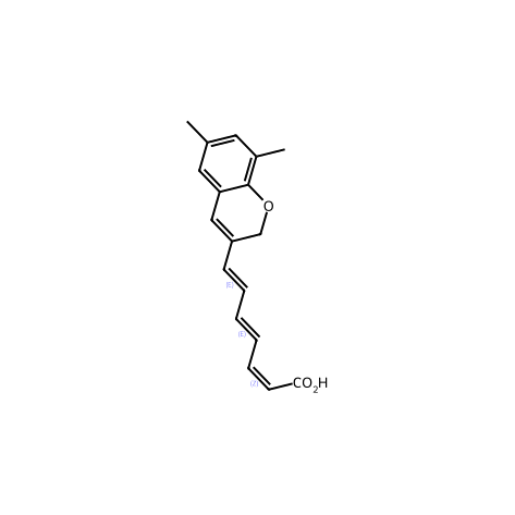 Cc1cc(C)c2c(c1)C=C(/C=C/C=C/C=C\C(=O)O)CO2